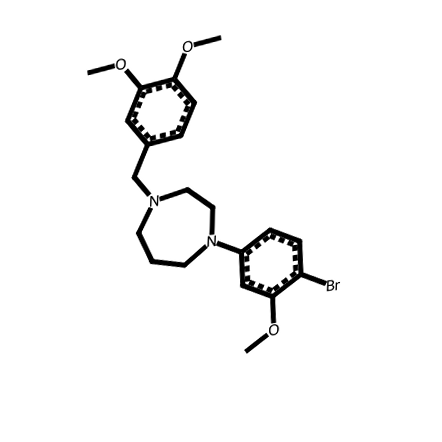 COc1cc(N2CCCN(Cc3ccc(OC)c(OC)c3)CC2)ccc1Br